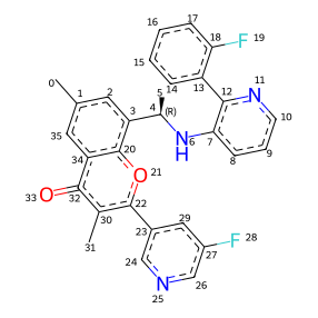 Cc1cc([C@@H](C)Nc2cccnc2-c2ccccc2F)c2oc(-c3cncc(F)c3)c(C)c(=O)c2c1